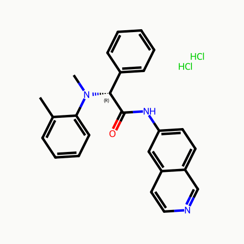 Cc1ccccc1N(C)[C@@H](C(=O)Nc1ccc2cnccc2c1)c1ccccc1.Cl.Cl